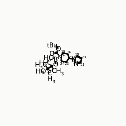 CC(C)(C)OC(=O)[N+]1(B(O)OC(C)(C)C(C)(C)O)CCC(n2cccn2)CC1